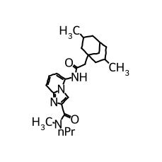 CCCN(C)C(=O)c1cn2c(NC(=O)CC34CC(C)CC(CC(C)C3)C4)cccc2n1